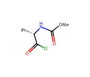 COC(=O)N[C@H](C(=O)Cl)C(C)C